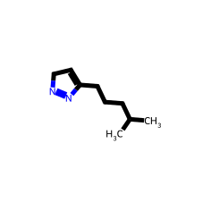 CC(C)CCCC1=CCN=N1